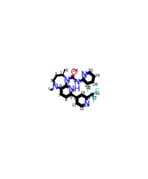 C[C@@H]1CCN(C)c2ccc(-c3ccnc(C(F)(F)F)c3)nc2N1C(=O)Nc1ccccn1